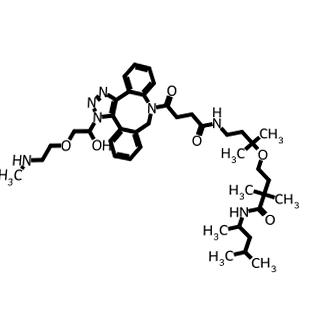 CNCCOCC(O)n1nnc2c1-c1ccccc1CN(C(=O)CCC(=O)NCCC(C)(C)OCCC(C)(C)C(=O)NC(C)CC(C)C)c1ccccc1-2